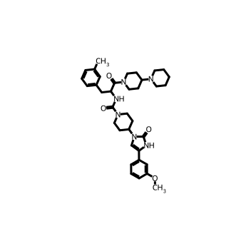 COc1cccc(-c2cn(C3CCN(C(=O)NC(Cc4cccc(C)c4)C(=O)N4CCC(N5CCCCC5)CC4)CC3)c(=O)[nH]2)c1